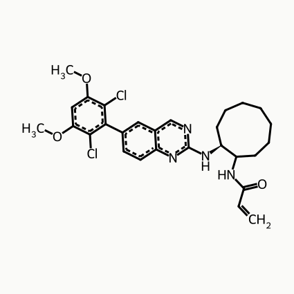 C=CC(=O)NC1CCCCCCC[C@@H]1Nc1ncc2cc(-c3c(Cl)c(OC)cc(OC)c3Cl)ccc2n1